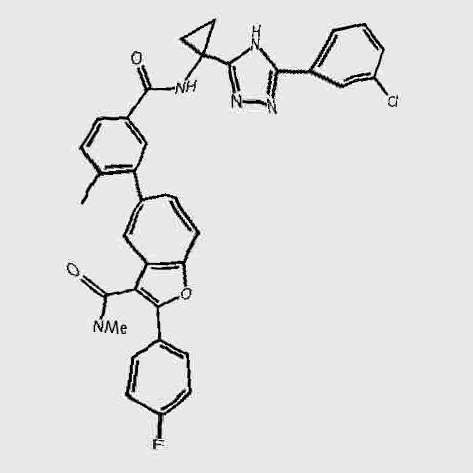 CNC(=O)c1c(-c2ccc(F)cc2)oc2ccc(-c3cc(C(=O)NC4(c5nnc(-c6cccc(Cl)c6)[nH]5)CC4)ccc3C)cc12